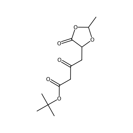 CC1OC(=O)C(CC(=O)CC(=O)OC(C)(C)C)O1